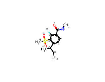 C=NC(=O)c1ccc(C(C)CC)c(S(C)(=O)=O)c1F